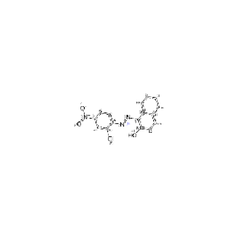 O=[N+]([O-])c1ccc(/N=N/c2c(O)ccc3ccccc23)c(Cl)c1